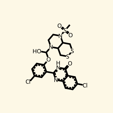 CS(=O)(=O)N1CCN(C(O)Oc2ccc(Cl)cc2-c2nc3ccc(Cl)cc3c(=O)[nH]2)C2CSSCC21